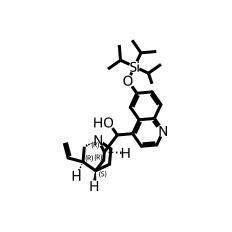 C=C[C@H]1C[N@]2CC[C@H]1C[C@@H]2C(O)c1ccnc2ccc(O[Si](C(C)C)(C(C)C)C(C)C)cc12